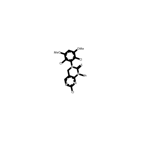 COc1cc(OC)c(Cl)c(N2Cc3cnc(Cl)nc3N(C(C)C)C2=S)c1Cl